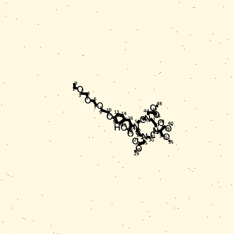 CCOCCOCCOCCOc1ccc(CC(C(=O)O)N2CCN(CC(=O)OC)CCN(C(COC)C(=O)OC)CCN(CC(=O)OC)CC2)cc1